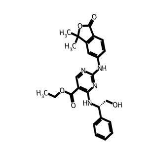 CCOC(=O)c1cnc(Nc2ccc3c(c2)C(C)(C)OC3=O)nc1N[C@H](CO)c1ccccc1